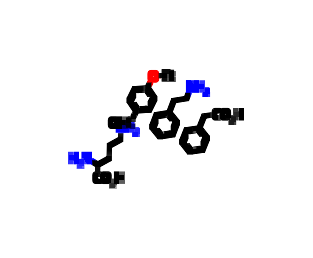 CCOc1ccc(C=O)cc1.NCCCC(N)C(=O)O.NCCc1ccccc1.O=C(O)Cc1ccccc1